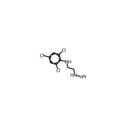 CCCNCCNc1c(Cl)cc(Cl)cc1Cl